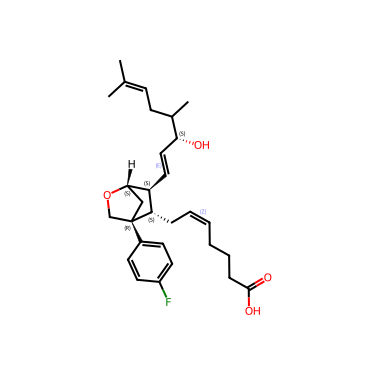 CC(C)=CCC(C)[C@H](O)/C=C/[C@@H]1[C@@H]2C[C@@](c3ccc(F)cc3)(CO2)[C@H]1C/C=C\CCCC(=O)O